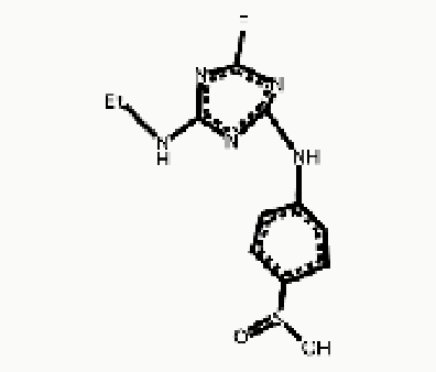 CCNc1nc(F)nc(Nc2ccc(S(=O)O)cc2)n1